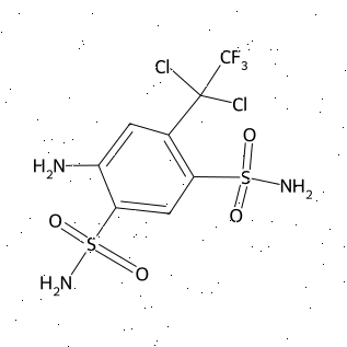 Nc1cc(C(Cl)(Cl)C(F)(F)F)c(S(N)(=O)=O)cc1S(N)(=O)=O